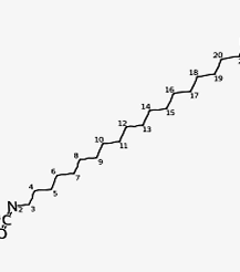 O=C=NCCCCCCCCCCCCCCCCCCCO